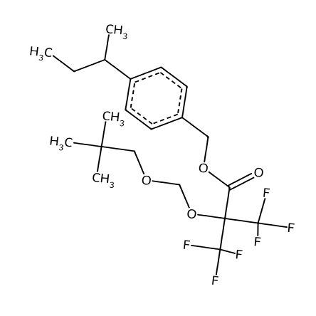 CCC(C)c1ccc(COC(=O)C(OCOCC(C)(C)C)(C(F)(F)F)C(F)(F)F)cc1